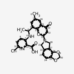 Cc1cc(C(C)Nc2ccc(Cl)nc2C(=O)O)c2oc(N3Cc4ccc5c(c4C3)OCO5)cc(=O)c2c1